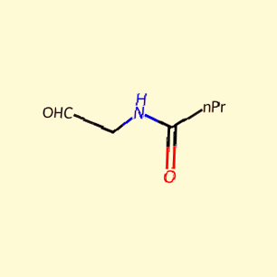 CCCC(=O)NCC=O